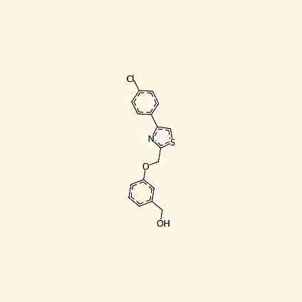 OCc1cccc(OCc2nc(-c3ccc(Cl)cc3)cs2)c1